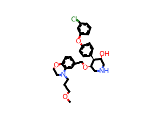 COCCCN1CCOc2ccc(CO[C@H]3CNC[C@@H](O)[C@@H]3c3ccc(Oc4cccc(Cl)c4)cc3)cc21